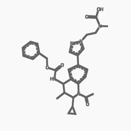 CC(=O)N1c2ccc(-c3cnn(CCN(C)C(=O)O)c3)cc2C(NC(=O)OCc2ccccc2)C(C)C1C1CC1